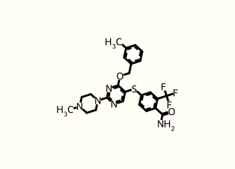 Cc1cccc(COc2nc(N3CCN(C)CC3)ncc2Sc2ccc(C(N)=O)c(C(F)(F)F)c2)c1